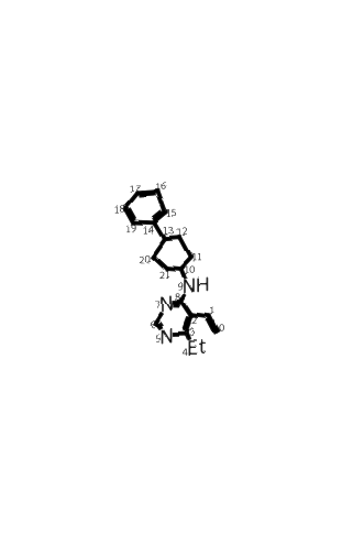 C=Cc1c(CC)ncnc1NC1CCC(c2ccccc2)CC1